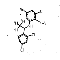 [2H]C([2H])([2H])C(Nc1cc(Br)cc(Cl)c1[N+](=O)[O-])c1ccc(Cl)cc1Cl